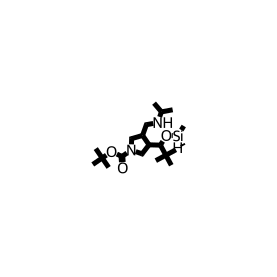 CC(C)NCC1CN(C(=O)OC(C)(C)C)CC1C(O[SiH](C)C)C(C)(C)C